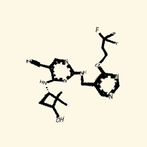 CC1(C)C(O)C[C@@H]1Nc1nc(NCc2cncnc2OCCC(F)(F)F)ncc1C#N